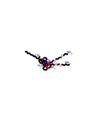 CCCCCCCCCC(CN)CCCCC(CCC(N)(C(N)CCOCCCCOCCCN)C(N)CCOCCOCCC(N)CC)(C(N)(C1CCCCC1)C1CCCCC1)C(N)(C1CCCCC1)C1CCCCC1